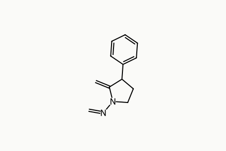 C=NN1CCC(c2ccccc2)C1=C